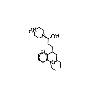 CCCCC(CCC(O)N1CCNCC1)c1ncccc1NCC